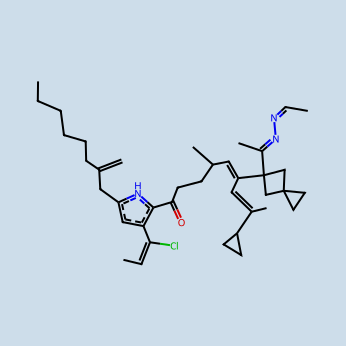 C=C(CCCCCC)Cc1cc(/C(Cl)=C\C)c(C(=O)CCC(C)/C=C(\C=C(/C)C2CC2)C2(/C(C)=N/N=C\C)CC3(CC3)C2)[nH]1